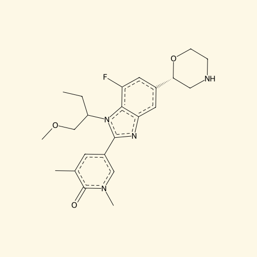 CCC(COC)n1c(-c2cc(C)c(=O)n(C)c2)nc2cc([C@H]3CNCCO3)cc(F)c21